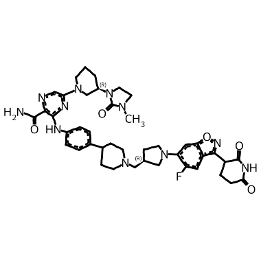 CN1CCN([C@@H]2CCCN(c3cnc(C(N)=O)c(Nc4ccc(C5CCN(C[C@H]6CCN(c7cc8onc(C9CCC(=O)NC9=O)c8cc7F)C6)CC5)cc4)n3)C2)C1=O